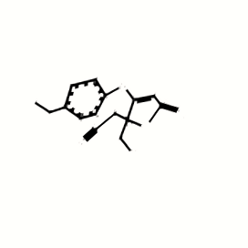 CCc1ccc(NC2=CC(=O)OC2(CC)CC#N)cc1